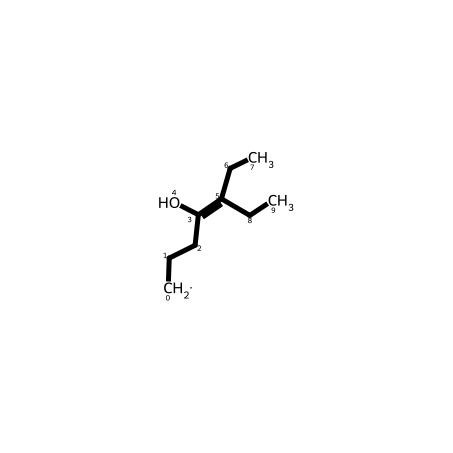 [CH2]CCC(O)=C(CC)CC